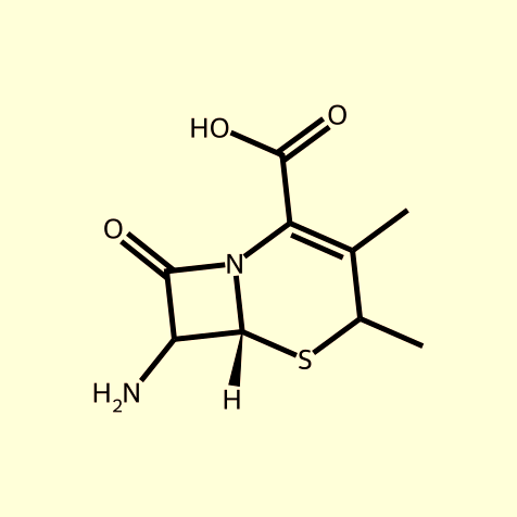 CC1=C(C(=O)O)N2C(=O)C(N)[C@H]2SC1C